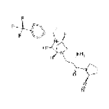 C[C@@H](c1ccc(C(F)(F)F)cc1)N1C(=O)[C@@H]2C[C@H]1CN2C[C@H](N)C(=O)N1CCC[C@H]1C#N